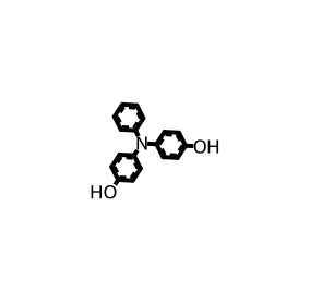 Oc1ccc(N(c2ccccc2)c2ccc(O)cc2)cc1